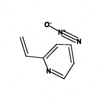 C=Cc1ccccn1.N#[N+][O-]